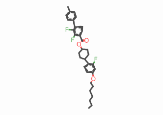 CCCCCCCOc1ccc(C2CCC(OC(=O)c3ccc(-c4ccc(C)cc4)c(F)c3F)CC2)c(F)c1